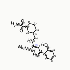 CNN/C(=C\C(=N)c1ccccc1O)NCC1CCCN(S(N)(=O)=O)C1